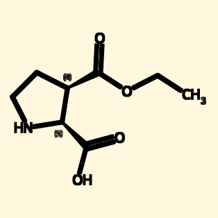 CCOC(=O)[C@@H]1CCN[C@@H]1C(=O)O